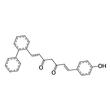 O=C(C=Cc1ccc(O)cc1)CC(=O)C=Cc1ccccc1-c1ccccc1